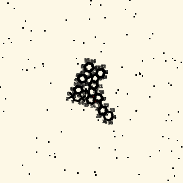 CC1(C)CCC(C)(C)c2c(N(c3ccccc3)c3cc4c(cc3-c3ccc(-c5ccc6c(c5)CCCC6)cc3)-c3ccccc3C4(c3ccccc3)c3ccccc3)cccc21